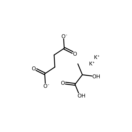 CC(O)C(=O)O.O=C([O-])CCC(=O)[O-].[K+].[K+]